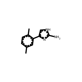 Cc1ccc(C)c(-c2c[nH]c(N)n2)c1